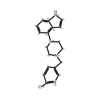 Clc1ccc(CN2CCN(c3cccc4[nH]ccc34)CC2)cn1